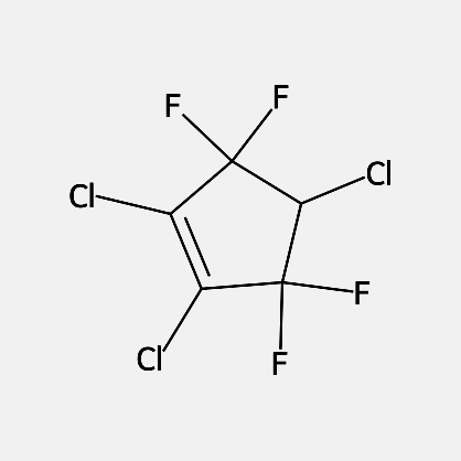 FC1(F)C(Cl)=C(Cl)C(F)(F)C1Cl